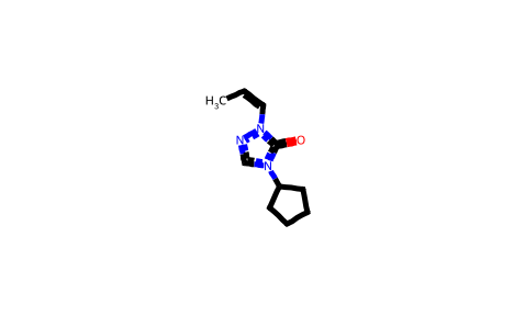 C/C=C\n1ncn(C2CCCC2)c1=O